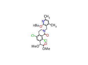 CCCCOc1nc(C)cc(C)c1CN1CCc2c(Cl)cc(C(OC)C(=O)OC)c(Cl)c2C1=O